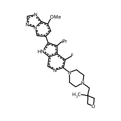 COc1cc(-c2[nH]c3cnc(N4CCN(CC5(C)COC5)CC4)c(F)c3c2C(C)C)cn2ncnc12